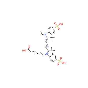 CCN1/C(=C/C=C/C2=[N+](CCCCCC(=O)O)c3ccc(S(=O)(=O)O)cc3C2(C)C)C(C)(C)c2cc(S(=O)(=O)O)ccc21